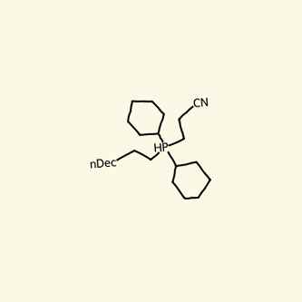 CCCCCCCCCCCC[PH](CCC#N)(C1CCCCC1)C1CCCCC1